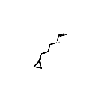 O=CNCCCC1CC1